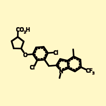 Cc1cc(C(F)(F)F)cc2c1cc(Cc1c(Cl)ccc(OC3CCC(C(=O)O)C3)c1Cl)n2C